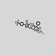 CNC(=O)N(c1ccccc1)C1CCN(Cc2nc(-c3ccc(C(F)(F)F)cc3)[nH]c2C)CC1